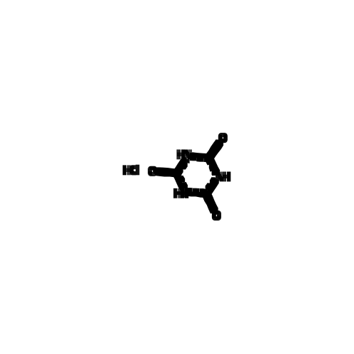 Cl.O=c1[nH]c(=O)[nH]c(=O)[nH]1